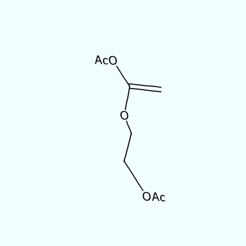 C=C(OCCOC(C)=O)OC(C)=O